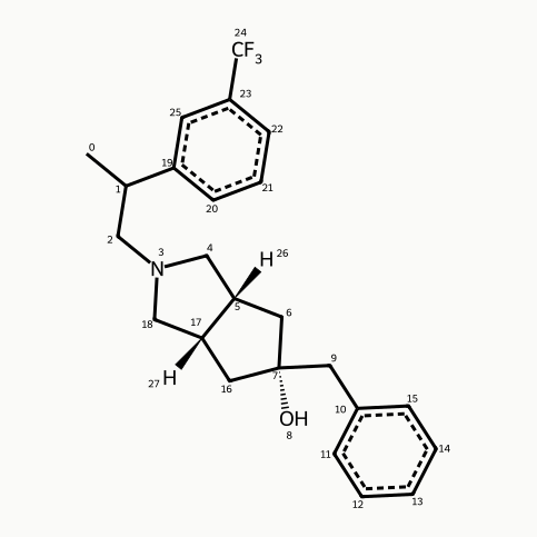 CC(CN1C[C@@H]2C[C@@](O)(Cc3ccccc3)C[C@@H]2C1)c1cccc(C(F)(F)F)c1